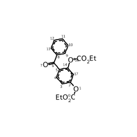 CCOC(=O)Oc1ccc(C(=O)c2ccccc2)c(OC(=O)OCC)c1